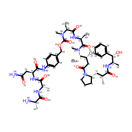 CC[C@H](C)[C@@H]([C@@H](CC(=O)N1CCC[C@H]1C[C@@H](C)C(=O)N[C@H](C)[C@@H](O)c1ccccc1)OC)N(C)C(=O)[C@@H](NC(=O)[C@H](C(C)C)N(C)C(=O)OCc1ccc(NC(=O)[C@H](CC(N)=O)NC(=O)[C@H](C)NC(=O)[C@H](C)N)cc1)C(C)C